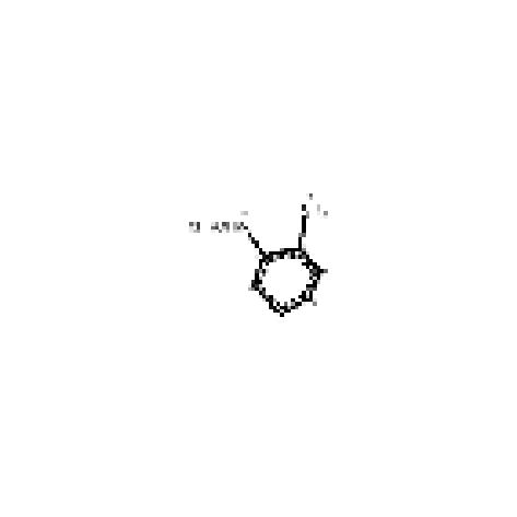 Cc1ccccc1N(C)O